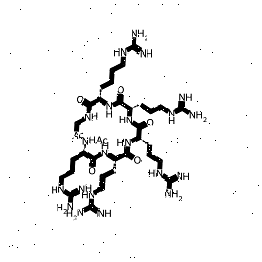 CC(=O)CNC(=O)[C@H](CCCCNC(=N)N)NC(=O)[C@H](CCCNC(=N)N)NC(=O)[C@H](CCCNC(=N)N)NC(=O)[C@H](CCCNC(=N)N)NC(=O)[C@H](CCCNC(=N)N)NC(C)=O